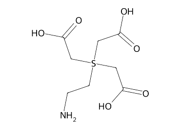 NCCS(CC(=O)O)(CC(=O)O)CC(=O)O